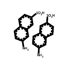 Nc1ccc2cc(S(=O)(=O)O)ccc2c1.Nc1ccc2ccc(S(=O)(=O)O)cc2c1